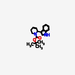 CC(C)(C)OC(=O)N1CCC=CC1c1c[nH]c2ccccc12